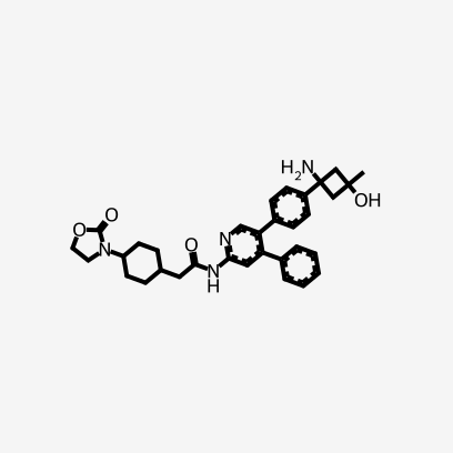 CC1(O)CC(N)(c2ccc(-c3cnc(NC(=O)CC4CCC(N5CCOC5=O)CC4)cc3-c3ccccc3)cc2)C1